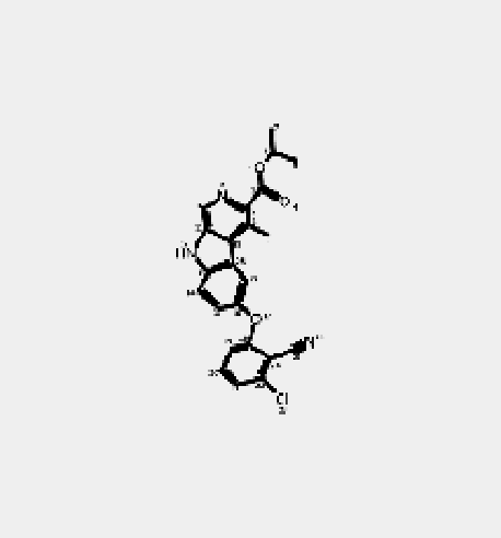 Cc1c(C(=O)OC(C)C)ncc2[nH]c3ccc(Oc4cccc(Cl)c4C#N)cc3c12